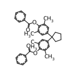 Cc1cc(C2(c3cc(C)c(OC(=O)c4ccccc4)c(C)c3)CCCC2)cc(C)c1OC(=O)c1ccccc1